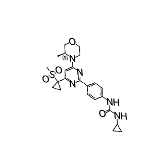 C[C@H]1COCCN1c1cc(C2(S(C)(=O)=O)CC2)nc(-c2ccc(NC(=O)NC3CC3)cc2)n1